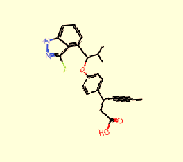 CC#CC(CC(=O)O)c1ccc(OC(c2cccc3[nH]nc(F)c23)C(C)C)cc1